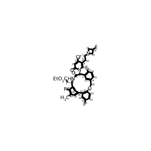 CCOC(=O)C[C@@H]1NC(=O)[C@@H](n2cc(CCN3CC(F)C3)c(C(F)(F)F)cc2=O)c2cc(ccc2F)COc2ccc(F)cc2-c2cc(C)c(F)c1c2